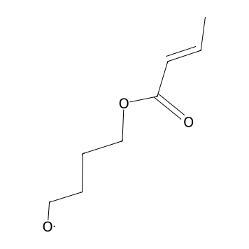 CC=CC(=O)OCCCC[O]